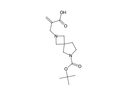 C=C(CN1CC2(CCN(C(=O)OC(C)(C)C)C2)C1)C(=O)O